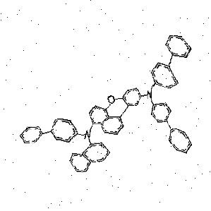 c1ccc(-c2ccc(N(c3ccc(-c4ccccc4)cc3)c3ccc4c(c3)-c3cccc5c(N(c6ccc(-c7ccccc7)cc6)c6cccc7ccccc67)ccc(c35)O4)cc2)cc1